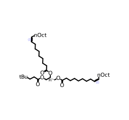 CCCCCCCC/C=C\CCCCCCCC(=O)OC[C@H](COC(=O)CCC(C)(C)C)OC(=O)CCCCCCC/C=C\CCCCCCCC